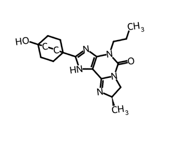 CCCN1C(=O)N2C[C@@H](C)N=C2c2[nH]c(C34CCC(O)(CC3)CC4)nc21